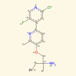 Cc1nc(-c2cc(Cl)ncc2F)ccc1OCC(C)(N)CC(C)C